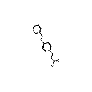 O=[N+]([O-])CCc1ccc(SCc2ccccc2)cc1